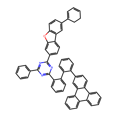 C1=CCCC(c2ccc3oc4cc(-c5nc(-c6ccccc6)nc(-c6ccccc6-c6ccccc6-c6ccc7c8ccccc8c8ccccc8c7c6)n5)ccc4c3c2)=C1